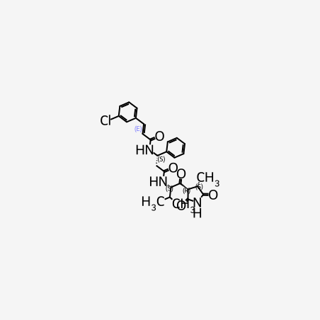 CC(C)[C@H](NC(=O)C[C@H](NC(=O)/C=C/c1cccc(Cl)c1)c1ccccc1)C(=O)[C@@H]1C(=O)NC(=O)[C@H]1C